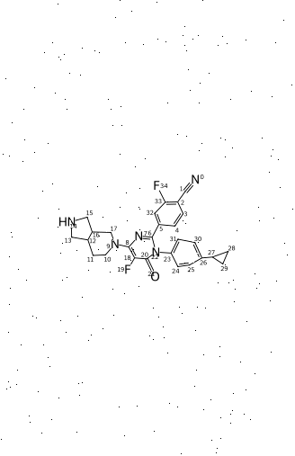 N#Cc1ccc(-c2nc(N3CCC4CNCC4C3)c(F)c(=O)n2-c2ccc(C3CC3)cc2)cc1F